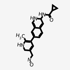 CC1=C(c2ccc3c(c2)=CNC(NC(=O)C2CC2)C=3)C=C(CN=O)CN1